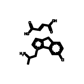 CC(N)Cn1ccc2c1-c1cc(Cl)ccc1C2.O=C(O)C=CC(=O)O